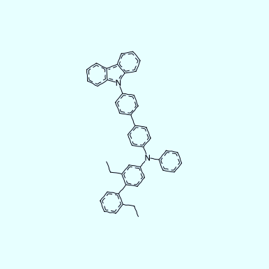 CCc1ccccc1-c1ccc(N(c2ccccc2)c2ccc(-c3ccc(-n4c5ccccc5c5ccccc54)cc3)cc2)cc1CC